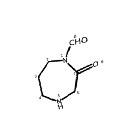 O=CN1CCCNCC1=O